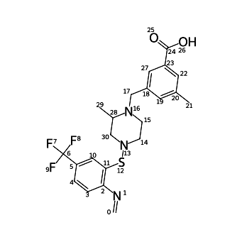 C=Nc1ccc(C(F)(F)F)cc1SN1CCN(Cc2cc(C)cc(C(=O)O)c2)C(C)C1